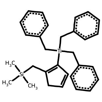 C[Si](C)(C)CC1=[C]([Ti]([CH2]c2ccccc2)([CH2]c2ccccc2)[CH2]c2ccccc2)C=CC1